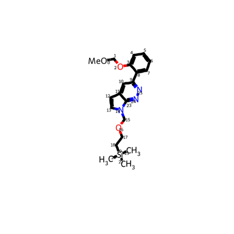 COCOc1ccccc1-c1cc2ccn(COCC[Si](C)(C)C)c2nn1